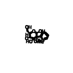 CO[C@]1(O)[C@H](O)[C@@H](CO)O[C@@H](O)[C@@]1(O)c1ccccn1